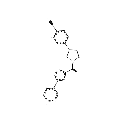 N#Cc1ccc(C2CCN(C(=O)c3cc(-c4ccnnc4)n[nH]3)C2)cc1